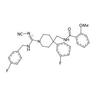 COc1ccccc1C(=O)NCC1(c2cccc(F)c2)CCN(/C(=N/C#N)NCc2ccc(F)cc2)CC1